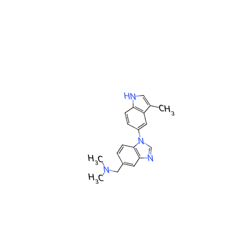 Cc1c[nH]c2ccc(-n3cnc4cc(CN(C)C)ccc43)cc12